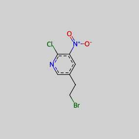 O=[N+]([O-])c1cc(CCBr)cnc1Cl